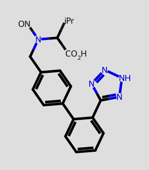 CC(C)C(C(=O)O)N(Cc1ccc(-c2ccccc2-c2nn[nH]n2)cc1)N=O